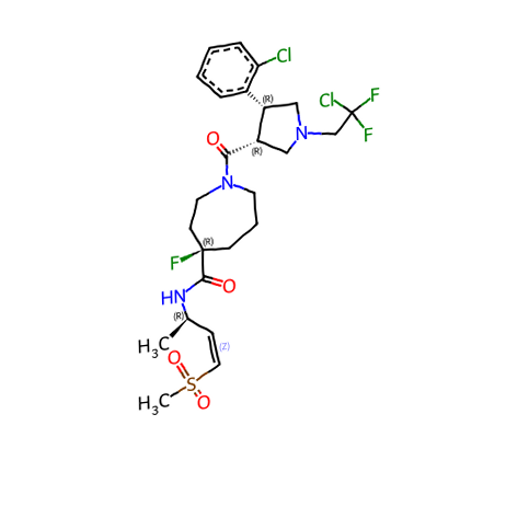 C[C@H](/C=C\S(C)(=O)=O)NC(=O)[C@@]1(F)CCCN(C(=O)[C@H]2CN(CC(F)(F)Cl)C[C@H]2c2ccccc2Cl)CC1